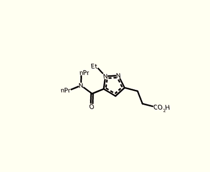 CCCN(CCC)C(=O)c1cc(CCC(=O)O)nn1CC